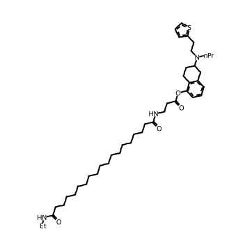 CCCN(CCc1cccs1)C1CCc2c(cccc2OC(=O)CCNC(=O)CCCCCCCCCCCCCCCCCC(=O)NCC)C1